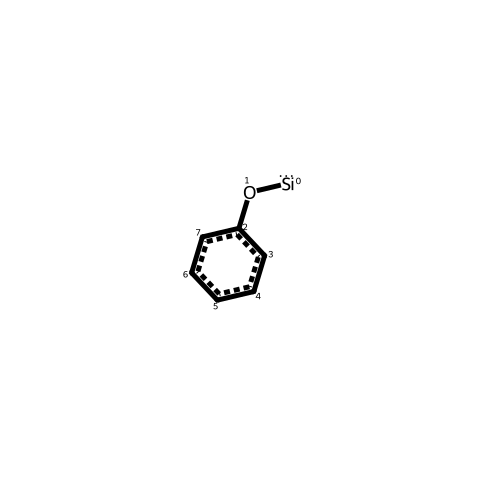 [Si]Oc1ccccc1